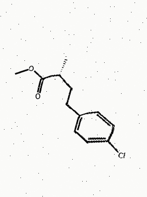 COC(=O)[C@H](C)CCc1ccc(Cl)cc1